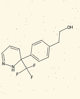 OCCc1ccc(C2(C(F)(F)F)C=CC=NN2)cc1